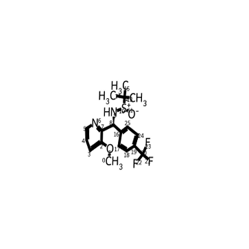 COc1cccnc1[C@@H](N[S+]([O-])C(C)(C)C)c1ccc(C(F)(F)F)cc1